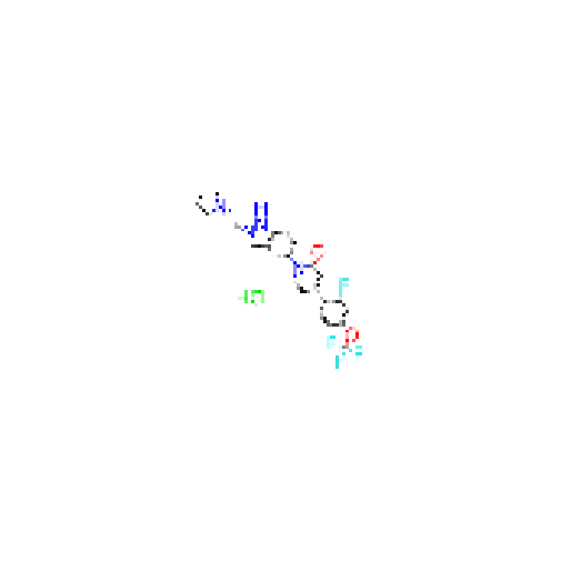 Cl.O=c1cc(-c2ccc(OC(F)(F)F)cc2F)ccn1-c1ccc2c(c1)CN(CCN1CCCC1)N2